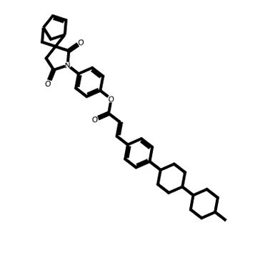 CC1CCC(C2CCC(c3ccc(/C=C/C(=O)Oc4ccc(N5C(=O)CC6(CC7C=CC6C7)C5=O)cc4)cc3)CC2)CC1